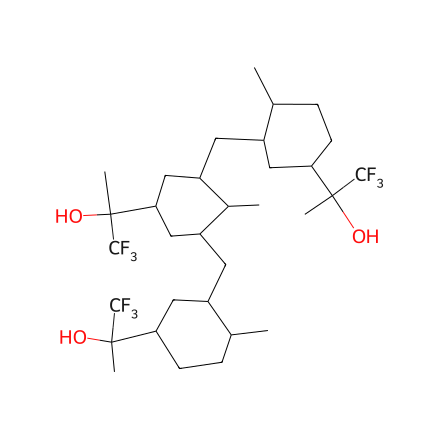 CC1CCC(C(C)(O)C(F)(F)F)CC1CC1CC(C(C)(O)C(F)(F)F)CC(CC2CC(C(C)(O)C(F)(F)F)CCC2C)C1C